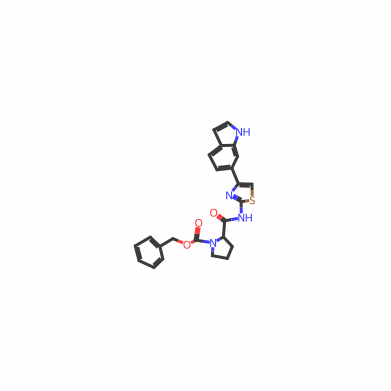 O=C(Nc1nc(-c2ccc3cc[nH]c3c2)cs1)C1CCCN1C(=O)OCc1ccccc1